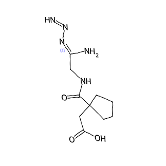 N=N/N=C(\N)CNC(=O)C1(CC(=O)O)CCCC1